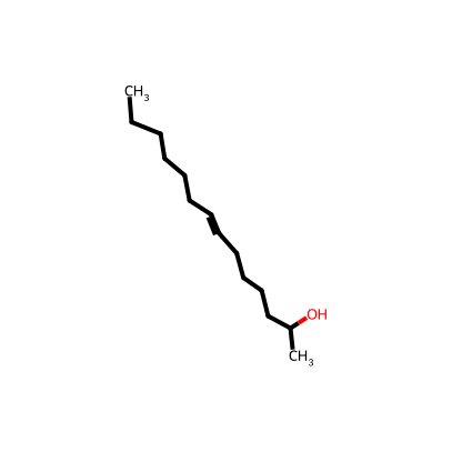 CCCCCC/C=C/CCCCC(C)O